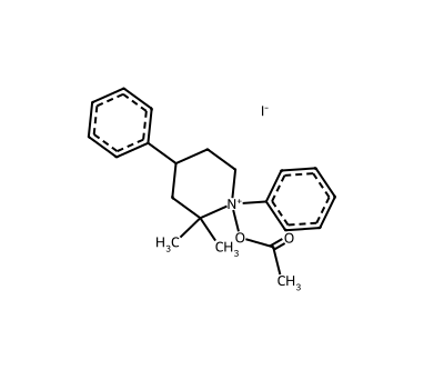 CC(=O)O[N+]1(c2ccccc2)CCC(c2ccccc2)CC1(C)C.[I-]